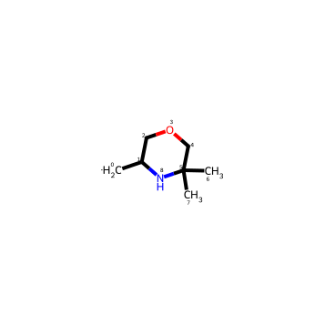 [CH2]C1COCC(C)(C)N1